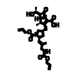 C=CCOC(=O)NC/C(C)=C/[C@@H]1C[C@H](SC2=C(C(=O)O)N3C(=O)[C@H]([C@@H](C)O)[C@H]3[C@H]2C)CN1C(=O)OCC=C